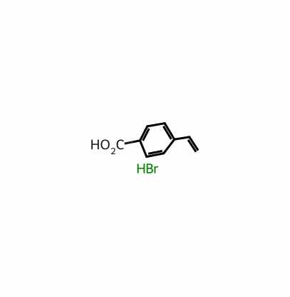 Br.C=Cc1ccc(C(=O)O)cc1